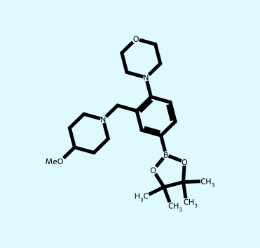 COC1CCN(Cc2cc(B3OC(C)(C)C(C)(C)O3)ccc2N2CCOCC2)CC1